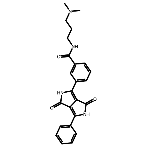 CN(C)CCCNC(=O)c1cccc(C2=C3C(=O)NC(c4ccccc4)=C3C(=O)N2)c1